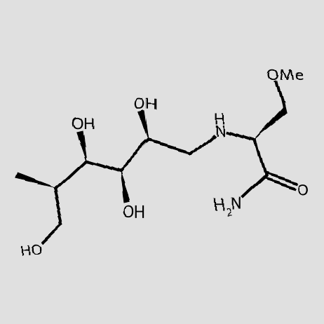 COC[C@H](NC[C@H](O)[C@@H](O)[C@H](O)[C@H](C)CO)C(N)=O